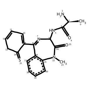 C[C@H](N)C(=O)NC1N=C(C2=CC=CCC2=S)c2ccccc2N(C)C1=O